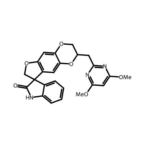 COc1cc(OC)nc(CC2COc3cc4c(cc3O2)C2(CO4)C(=O)Nc3ccccc32)n1